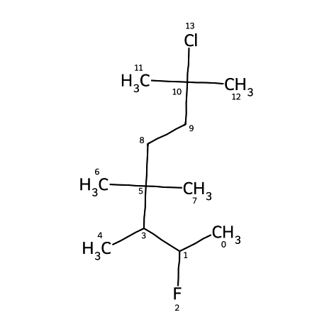 CC(F)C(C)C(C)(C)CCC(C)(C)Cl